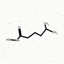 CC(C)CCCC(=O)NO